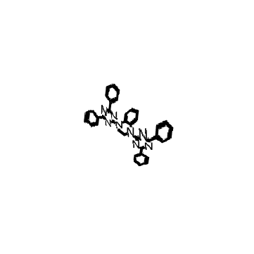 c1ccc(-c2nc(-c3ccccc3)nc(N3CCN(c4nc(-c5ccccc5)nc(-c5ccccc5)n4)c4ccccc43)n2)cc1